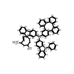 CCC1CCC2(/C=C/C(C)C1)c1ccccc1-c1ccc(N(c3ccc4c(c3)-c3ccccc3-c3ccccc3-c3ccccc3-4)c3ccc4c5ccccc5n(-c5ccccc5)c4c3)cc12